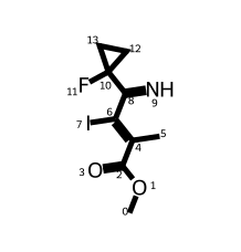 COC(=O)/C(C)=C(\I)C(=N)C1(F)CC1